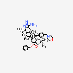 CC1(C)CC[C@]2(C(=O)OCc3ccccc3)CC[C@]3(C)C(=C(c4ccc(CN5CCOCC5)cc4)CC4[C@@]5(C)Cc6c(n[nH]c6N)C(C)(C)C5CC[C@]43C)C2C1